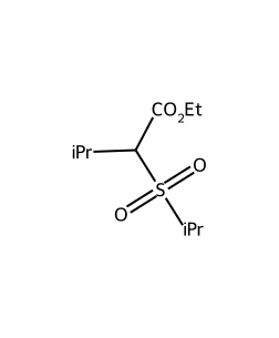 CCOC(=O)C(C(C)C)S(=O)(=O)C(C)C